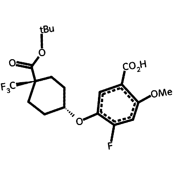 COc1cc(F)c(O[C@H]2CC[C@](C(=O)OC(C)(C)C)(C(F)(F)F)CC2)cc1C(=O)O